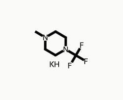 CN1CCN(C(F)(F)F)CC1.[KH]